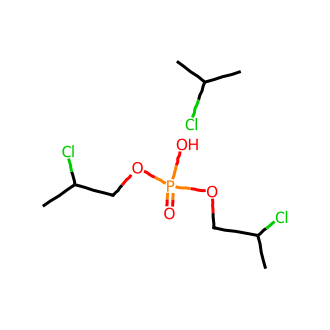 CC(C)Cl.CC(Cl)COP(=O)(O)OCC(C)Cl